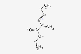 CC/C=C/C(N)C(=O)OCC